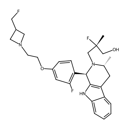 C[C@@H]1Cc2c([nH]c3ccccc23)[C@@H](c2ccc(OCCN3CC(CF)C3)cc2F)N1C[C@](C)(F)CO